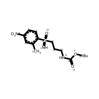 Cc1cc([N+](=O)[O-])ccc1S(=N)(=O)CCCNC(=O)OC(C)(C)C